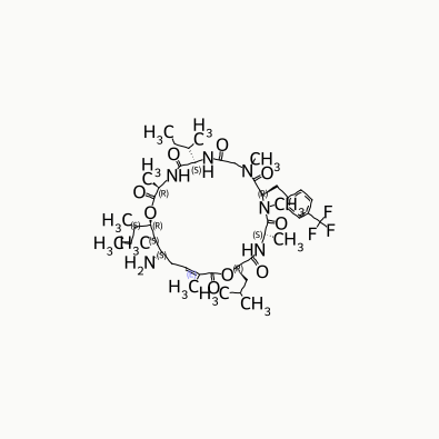 CCC(C)[C@@H]1NC(=O)CN(C)C(=O)[C@@H](Cc2ccc(C(F)(F)F)cc2)N(C)C(=O)[C@H](C)NC(=O)[C@@H](CC(C)C)OC(=O)/C(C)=C/C[C@H](N)[C@H](C)[C@@H]([C@@H](C)CC)OC(=O)[C@@H](C)NC1=O